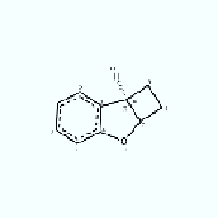 c1ccc2c(c1)OC1CC[C@H]21